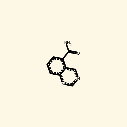 NC(=O)c1cccc2ncncc12